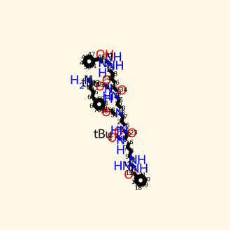 CC(C)(C)OC(=O)N[C@@H](CCCCNC(=N)NC(=O)c1ccccc1)C(=O)NCCCN(CCCNC(=O)[C@H](CCCCNC(=N)NC(O)c1ccccc1)NC(=O)OC(C)(C)C)CCOc1ccc(CCCCN)cc1